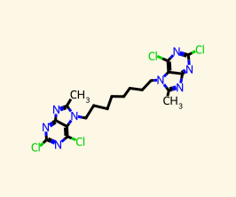 Cc1nc2nc(Cl)nc(Cl)c2n1CCCCCCCCn1c(C)nc2nc(Cl)nc(Cl)c21